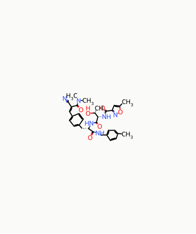 Cc1ccc(CNC(=O)[C@H](Cc2ccc(C=C(C#N)C(=O)N(C)C)cc2)NC(=O)[C@@H](NC(=O)c2cc(C)on2)[C@@H](C)O)cc1